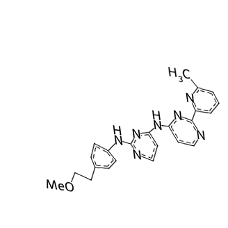 COCCc1ccc(Nc2nccc(Nc3ccnc(-c4cccc(C)n4)n3)n2)cc1